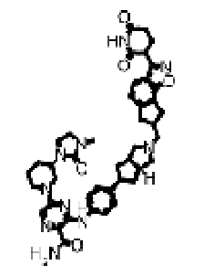 CN1CCN([C@@H]2CCCN(c3cnc(C(N)=O)c(Nc4ccc(C5CC6CN(CC7Cc8ccc9c(C%10CCC(=O)NC%10=O)noc9c8C7)C[C@H]6C5)cc4)n3)C2)C1=O